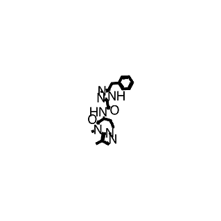 Cc1cnn2c1N(C)C(=O)[C@@H](NC(=O)c1nnc(Cc3ccccc3)[nH]1)CC2